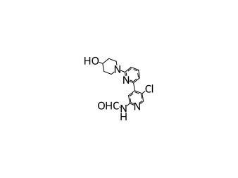 O=CNc1cc(-c2cccc(N3CCC(O)CC3)n2)c(Cl)cn1